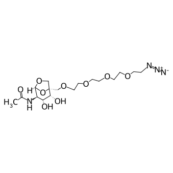 CC(=O)N[C@H]1[C@H]2OC[C@](COCCOCCOCCOCCN=[N+]=[N-])(O2)[C@H](O)[C@@H]1O